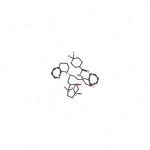 NCCCCN(CC1NC[C@@H]2CC[C@H]1N2CC[C@H](NC(=O)C1CCC(F)(F)CC1)c1ccccc1)[C@H]1CCCc2cccnc21